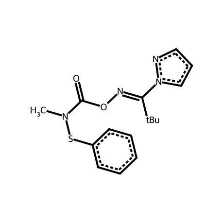 CN(Sc1ccccc1)C(=O)ON=C(n1cccn1)C(C)(C)C